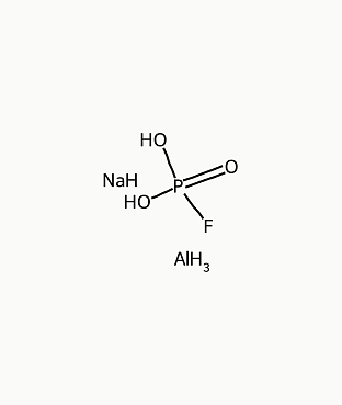 O=P(O)(O)F.[AlH3].[NaH]